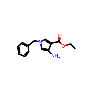 CCOC(=O)c1cn(Cc2ccccc2)cc1N